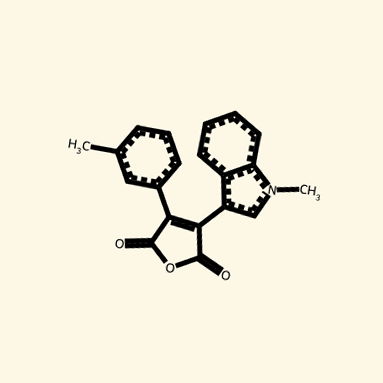 Cc1cccc(C2=C(c3cn(C)c4ccccc34)C(=O)OC2=O)c1